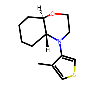 Cc1cscc1N1CCO[C@@H]2CCCC[C@H]21